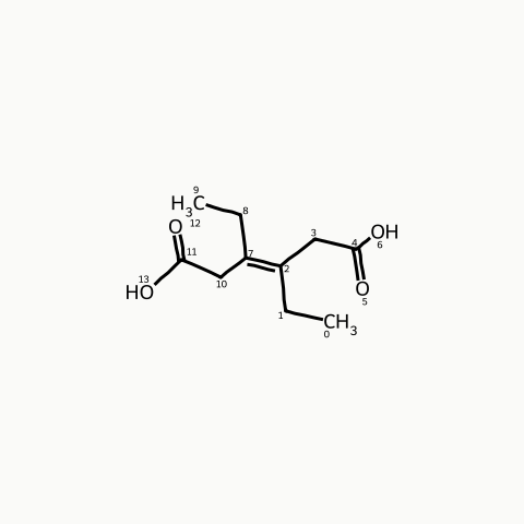 CC/C(CC(=O)O)=C(/CC)CC(=O)O